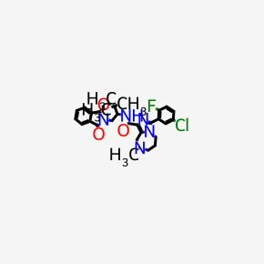 CN1CCCn2c(-c3cc(Cl)ccc3F)nc(C(=O)NC(CN3C(=O)c4ccccc4C3=O)C(C)(C)C)c2C1